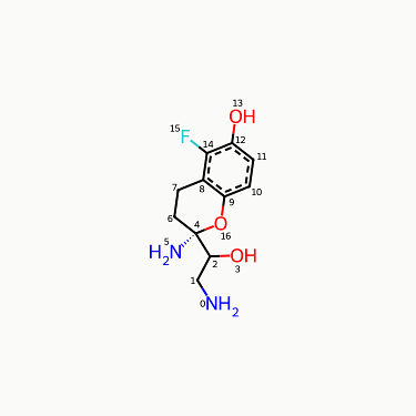 NCC(O)[C@@]1(N)CCc2c(ccc(O)c2F)O1